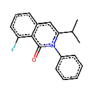 CC(C)c1cc2cccc(F)c2c(=O)n1-c1ccccc1